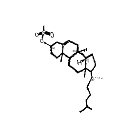 CC(C)CCC[C@@H](C)C1CC[C@H]2[C@H]3CC=C4C[C@H](OS(C)(=O)=O)CCC4(C)C3CCC12C